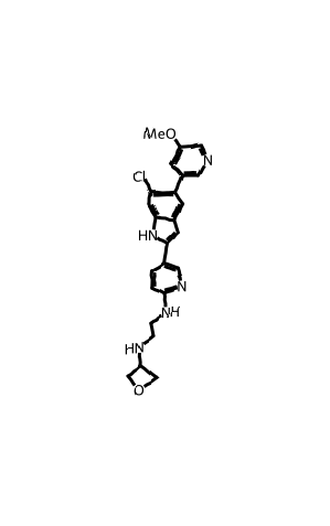 COc1cncc(-c2cc3cc(-c4ccc(NCCNC5COC5)nc4)[nH]c3cc2Cl)c1